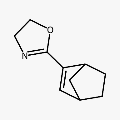 C1=C(C2=NCCO2)C2CCC1C2